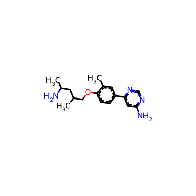 Cc1cc(-c2cc(N)ncn2)ccc1OCC(C)CC(C)N